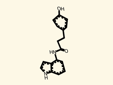 O=C(CCc1ccc(O)cc1)Nc1cccc2[nH]ccc12